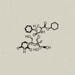 C#C[C@H](O)[C@@](F)(COP(=O)(NC(C)C(=O)OC1CCCCC1)Oc1ccccc1)O[C@H](CO)n1ccc(=O)[nH]c1=O